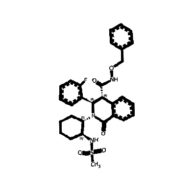 CS(=O)(=O)N[C@H]1CCCC[C@@H]1N1C(=O)c2ccccc2[C@@H](C(=O)NOCc2ccccc2)[C@@H]1c1ccccc1F